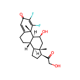 C[C@@]12C(=CC(=O)C(F)=C1F)CC[C@@H]1[C@@H]2[C@@H](O)C[C@]2(C)[C@@H](C(=O)CO)CC[C@@H]12